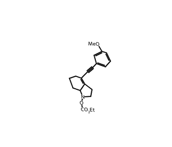 CCOC(=O)ON1CCC2=C(C#Cc3cccc(OC)c3)CCCC21